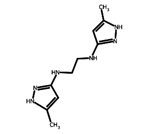 Cc1cc(NCCNc2cc(C)[nH]n2)n[nH]1